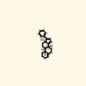 CC[C@]12CC[C@@H]3[C@H]4CCCC=C4CC[C@H]3C1=CC=C2c1ccccc1